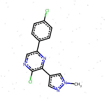 Cn1cc(-c2nc(-c3ccc(Cl)cc3)cnc2Cl)cn1